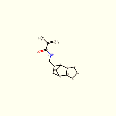 C=C(C)C(=O)NCC1CC2CC1C1CCCC21